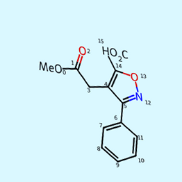 COC(=O)Cc1c(-c2ccccc2)noc1C(=O)O